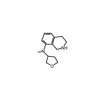 CN(c1cccc2c1CNCC2)C1CCOC1